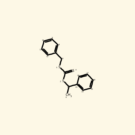 CC(SC(=S)SCc1ccccc1)c1ccccc1